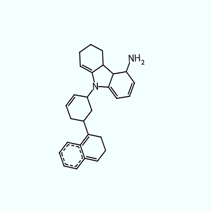 NC1C=CC=C2C1C1CCCC=C1N2C1C=CCC(C2=c3ccccc3=CCC2)C1